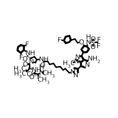 CN[C@@H](C)C(=O)N[C@H](C(=O)N1CC(NC(=O)CCCCCCCCn2cc(-c3cnc(N)c4c(-c5ccc(NS(=O)(=O)C(F)F)c(OCCc6ccc(F)cc6)c5)nn(C)c34)cn2)C[C@H]1C(=O)Nc1c(F)cccc1F)C(C)(C)C